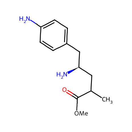 COC(=O)C(C)C[C@@H](N)Cc1ccc(N)cc1